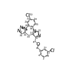 Clc1cccc(COCc2ncn3c2Cc2cnnn2-c2cc(Cl)ccc2-3)c1